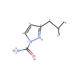 CC(C)Cc1ccn(C(N)=O)n1